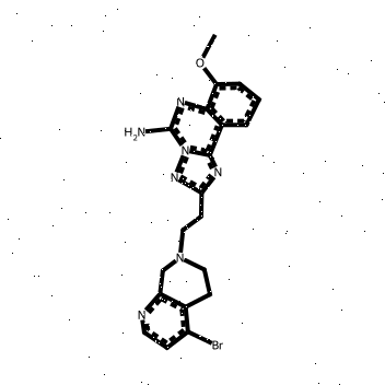 COc1cccc2c1nc(N)n1nc(CCN3CCc4c(Br)ccnc4C3)nc21